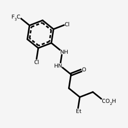 CCC(CC(=O)O)CC(=O)NNc1c(Cl)cc(C(F)(F)F)cc1Cl